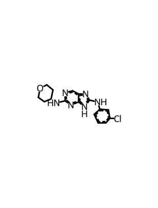 Clc1cccc(Nc2nc3cnc(NC4CCOCC4)nc3[nH]2)c1